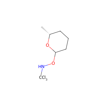 C[C@@H]1CCCC(ONC(Cl)(Cl)Cl)O1